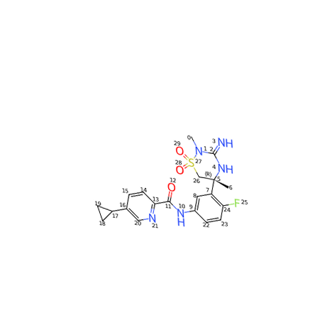 CN1C(=N)N[C@](C)(c2cc(NC(=O)c3ccc(C4CC4)cn3)ccc2F)CS1(=O)=O